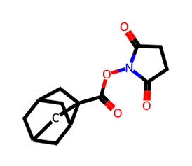 O=C1CCC(=O)N1OC(=O)C12CC3CC(CC1C3)C2